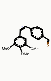 COc1cc(/C=C\c2ccc(C=S)cc2)cc(OC)c1OC